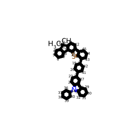 CC1(C)c2ccccc2-c2c1ccc1c2sc2c(-c3ccc(-c4ccc5c(c4)c4ccccc4n5-c4ccccc4)cc3)cccc21